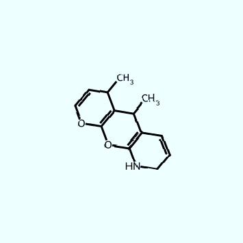 CC1C=COC2=C1C(C)C1=C(NCC=C1)O2